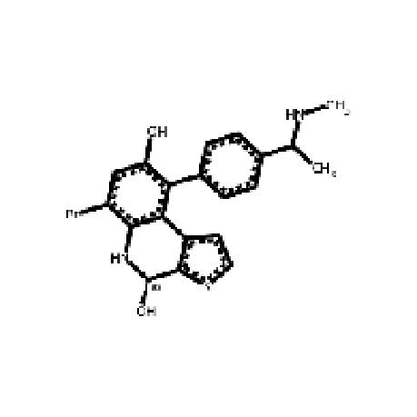 CNC(C)c1ccc(-c2c(O)cc(Br)c3c2-c2ccsc2[C@@H](O)N3)cc1